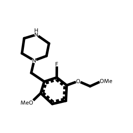 COCOc1ccc(OC)c(CN2CCNCC2)c1F